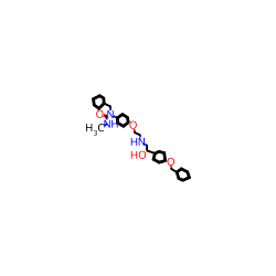 CNC(=O)N(Cc1ccccc1)c1ccc(OCCNCC(O)c2ccc(OCc3ccccc3)cc2)cc1